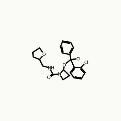 O=C(NCC1CCCO1)N1CCC1OC(Cl)(c1ccccc1)c1ccccc1Cl